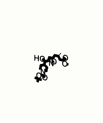 COC(=O)C[C@@H](C)Cc1cc(C(O)C2CCN(C(=O)OC(C)(C)C)CC2)no1